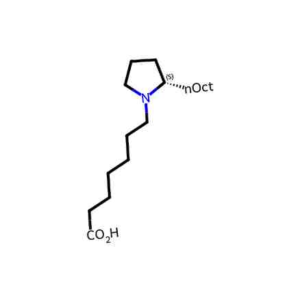 CCCCCCCC[C@H]1CCCN1CCCCCCC(=O)O